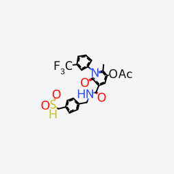 CC(=O)Oc1cc(C(=O)NCc2ccc(C[SH](=O)=O)cc2)c(=O)n(-c2cccc(C(F)(F)F)c2)c1C